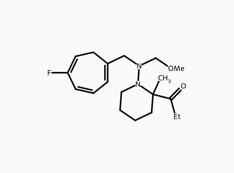 CCC(=O)C1(C)CCCCN1N(COC)CC1=CC=CC(F)=CC1